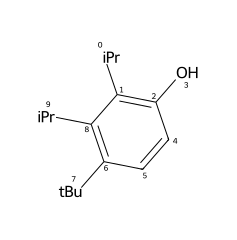 CC(C)c1c(O)ccc(C(C)(C)C)c1C(C)C